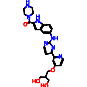 O=C(c1cc2cc(Nc3nccc(-c4cc(OCC(CO)CO)ccn4)n3)ccc2[nH]1)N1CCNCC1